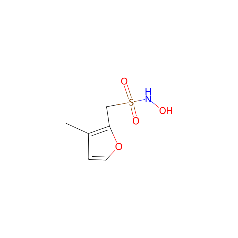 Cc1ccoc1CS(=O)(=O)NO